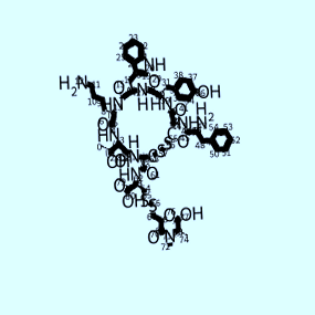 C[C@@H](O)[C@@H]1NC(=O)[C@H](CCCCN)NC(=O)[C@@H](Cc2c[nH]c3ccccc23)NC(=O)[C@H](Cc2ccc(O)cc2)NC(=O)[C@@H](NC(=O)[C@H](N)Cc2ccccc2)CSSC[C@@H](C(=O)N[C@@H](CSSCCC(=O)N(C)[C@@H](C)C(=O)O)C(=O)O)NC1=O